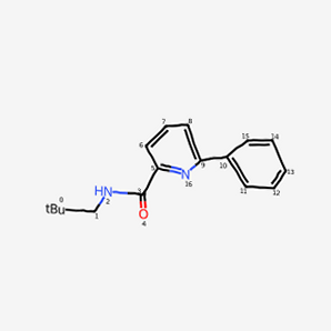 CC(C)(C)CNC(=O)c1cccc(-c2ccccc2)n1